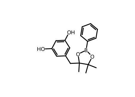 CC1(C)OB(c2ccccc2)OC1(C)Cc1cc(O)cc(O)c1